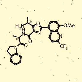 COc1ccc(-c2nc(C(=O)N[C@H](C)C(=O)N3CCc4ccccc43)c([C@H](C)N)o2)c2ccc(C(F)(F)F)nc12